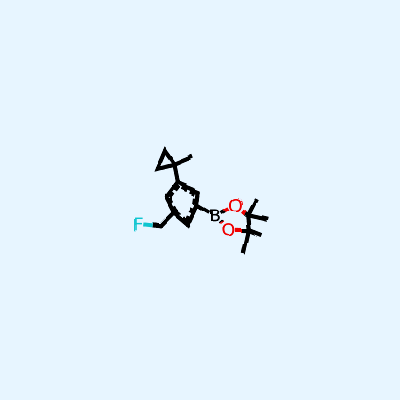 CC1(c2cc(CF)cc(B3OC(C)(C)C(C)(C)O3)c2)CC1